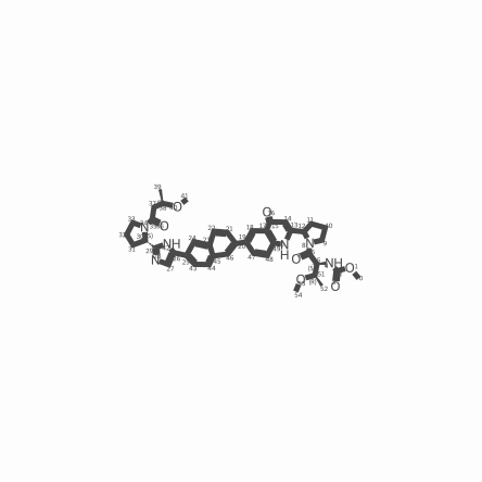 COC(=O)N[C@H](C(=O)N1CCCC1c1cc(=O)c2cc(-c3ccc4cc(-c5cnc([C@@H]6CCCN6C(=O)C[C@@H](C)OC)[nH]5)ccc4c3)ccc2[nH]1)[C@@H](C)OC